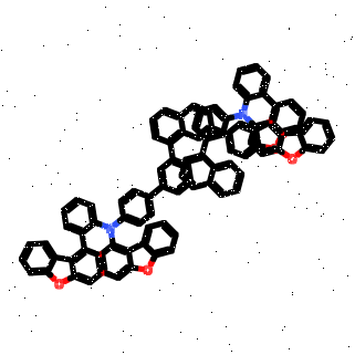 c1cc(-c2ccc(N(c3ccccc3-c3cccc4oc5ccccc5c34)c3cccc4oc5ccccc5c34)cc2)cc(-c2cccc3ccc(-c4ccc5oc6cccc(-c7ccccc7N(c7cccc(-c8cccc9ccccc89)c7)c7ccc8oc9ccccc9c8c7)c6c5c4)cc23)c1